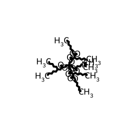 CCCCCCOC(=O)C(CCCCCC)C(=O)OCC(COC(=O)CCCN(C)C)(COC(=O)CC(CCCCC)CCCCC)COC(=O)C(CCCCCC)C(=O)OCCCCCC